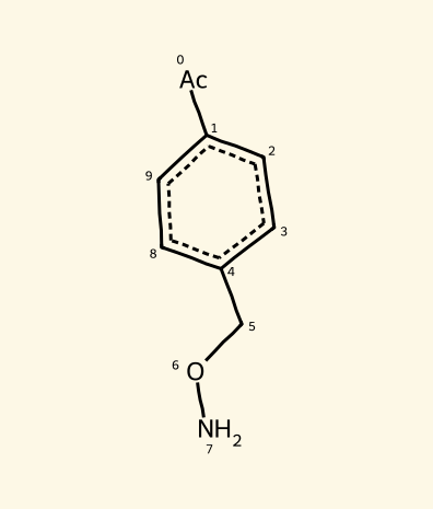 CC(=O)c1ccc(CON)cc1